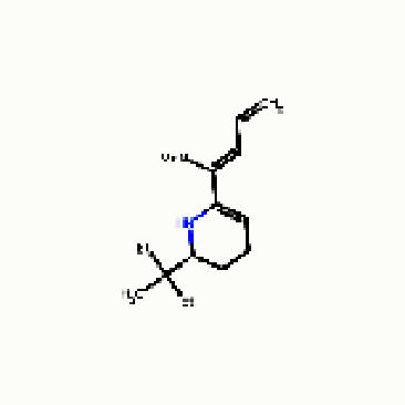 C=C/C=C(\NC)C1=CCC[C@@H](C(C)(CC)CC)N1